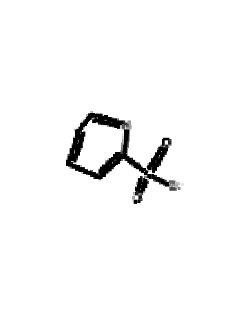 C[CH]S(=O)(=O)c1ccccn1